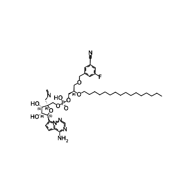 C=NC[C@]1(COP(=O)(O)OC[C@@H](COCc2cc(F)cc(C#N)c2)OCCCCCCCCCCCCCCCC)O[C@@H](c2ccc3c(N)ncnn23)[C@H](O)[C@@H]1O